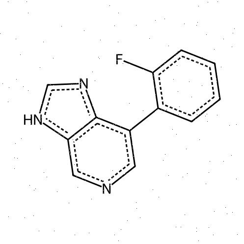 Fc1ccccc1-c1cncc2[nH]cnc12